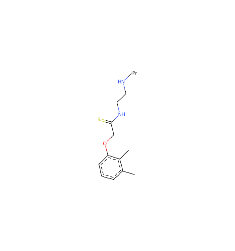 Cc1cccc(OCC(=S)NCCNC(C)C)c1C